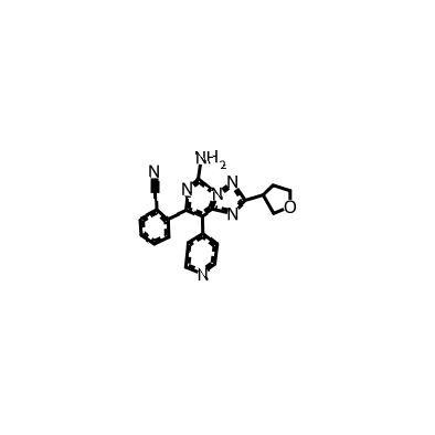 N#Cc1ccccc1-c1nc(N)n2nc(C3CCOC3)nc2c1-c1ccncc1